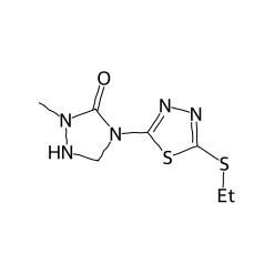 CCSc1nnc(N2CNN(C)C2=O)s1